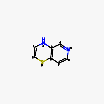 [C]1=CNc2cnccc2S1